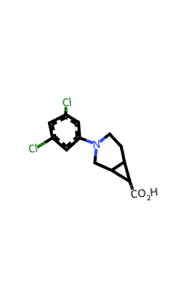 O=C(O)C1C2CCN(c3cc(Cl)cc(Cl)c3)CC21